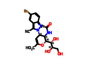 CC(C)C(=O)N[C@H]1[C@H]([C@H](O)[C@H](O)CO)OC(C(=O)O)=C[C@@H]1n1nc2ccc(Br)cc2c1C#N